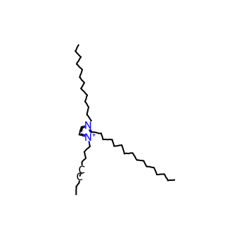 CCCCCCCCCCCCCCCc1n(CCCCCCCCCCCCC)cc[n+]1CCCCCCCCC